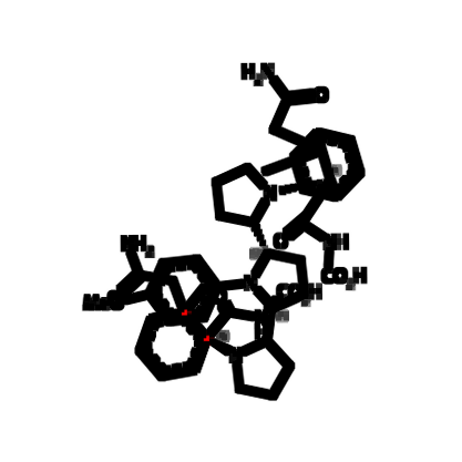 COc1ccc(N2[C@H](C3CCCN3[C@@]3(C(=O)NC(=O)O)c4ccc(cc4)C3(C)CC(N)=O)CC[C@H]2C2CCCN2[C@@]2(C(=O)NC(=O)O)c3ccc(cc3)C2(C)CC(N)=O)cc1